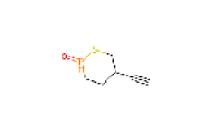 C#CC1CC[PH](=O)SC1